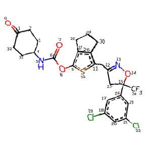 O=C1CCC(NC(=O)Oc2sc(C3=NOC(c4cc(Cl)cc(Cl)c4)(C(F)(F)F)C3)c3c2CCC3)CC1